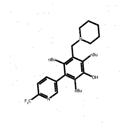 CCCCc1c(O)c(CCCC)c(-c2ccc(C(F)(F)F)nc2)c(CCCC)c1CN1CCCCC1